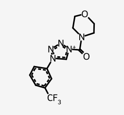 O=C(N1CCOCC1)[n+]1cn(-c2cccc(C(F)(F)F)c2)nn1